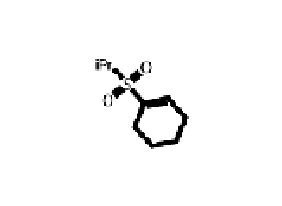 CC(C)S(=O)(=O)C1=CCCCC1